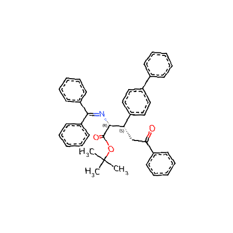 CC(C)(C)OC(=O)[C@H](N=C(c1ccccc1)c1ccccc1)[C@@H](CC(=O)c1ccccc1)c1ccc(-c2ccccc2)cc1